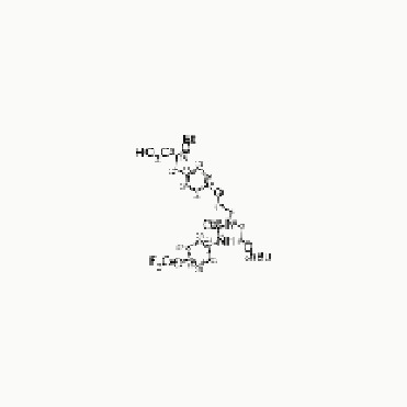 CCCCOCCN(CCOc1ccc(CC(OCC)C(=O)O)cc1)C(=O)Nc1ccc(OC(F)(F)F)cc1